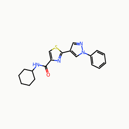 O=C(NC1CCCCC1)c1csc(-c2cnn(-c3ccccc3)c2)n1